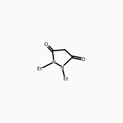 CCN1C(=O)CC(=O)N1CC